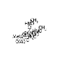 C=CC(=O)Nc1ccc(CCn2c(=O)c(-c3c(Cl)c(OC)cc(OC)c3Cl)cc3cnc(Nc4c(C)cccc4NC(=O)C=C)nc32)cc1